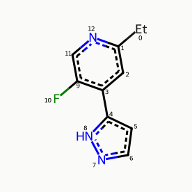 CCc1cc(-c2ccn[nH]2)c(F)cn1